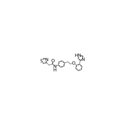 O=C(Cc1cscn1)Nc1ccc(CCOc2ccccc2-c2c[nH]cn2)cc1